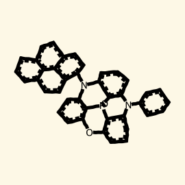 O=P12c3c4cccc3N(c3ccccc3)c3cccc(c31)N(c1ccc3ccc5cccc6ccc1c3c56)c1cccc(c12)O4